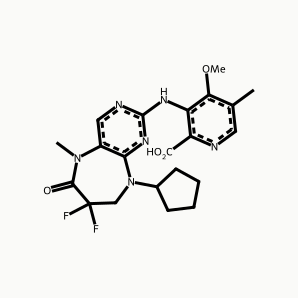 COc1c(C)cnc(C(=O)O)c1Nc1ncc2c(n1)N(C1CCCC1)CC(F)(F)C(=O)N2C